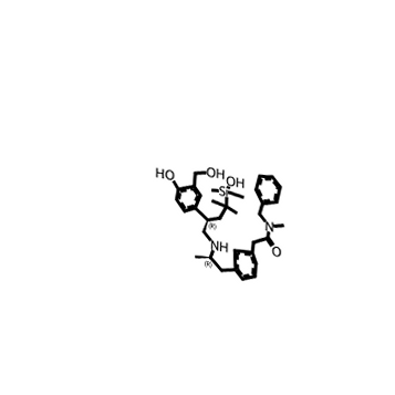 C[C@H](Cc1cccc(CC(=O)N(C)Cc2ccccc2)c1)NC[C@H](CC(C)(C)[Si](C)(C)O)c1ccc(O)c(CO)c1